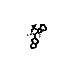 CC(=O)N1CC2(CC2)c2c([nH]c3ccccc23)C1c1ccc2c(c1)CCC2